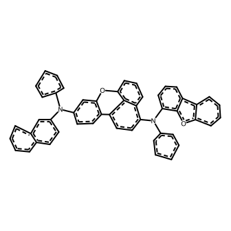 c1ccc(N(c2ccc3c(c2)Oc2cccc4c(N(c5ccccc5)c5cccc6c5oc5ccccc56)ccc-3c24)c2ccc3ccccc3c2)cc1